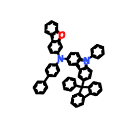 c1ccc(-c2ccc(N(c3ccc4c(c3)oc3ccccc34)c3ccc4c(c3)c3cc(C5(c6ccccc6)c6ccccc6-c6ccccc65)ccc3n4-c3ccccc3)cc2)cc1